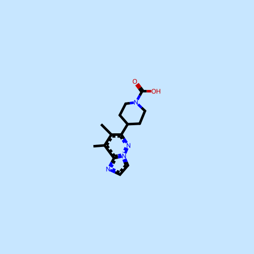 Cc1c(C2CCN(C(=O)O)CC2)nn2ccnc2c1C